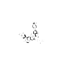 Cn1cc(-c2ccc(C[C@H](NC(=O)c3c(F)cc(N4CCS(=O)(=O)CC4)cc3F)C(=O)O)n3ccnc23)c(=O)n(C)c1=O